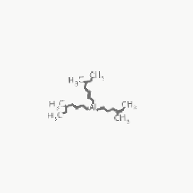 CCC(C)CCC[CH2][Al]([CH2]CCCC(C)CC)[CH2]CCCC(C)CC